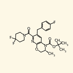 C[C@H]1COc2nc(C(=O)N3CCC(F)(F)CC3)c(Cc3ccc(F)cc3)cc2N1C(=O)OC(C)(C)C